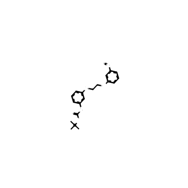 CC(C)(C)OC(=O)Nc1cccc(NCCOc2cccc([N+](=O)[O-])c2)c1